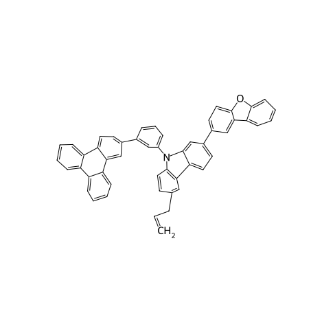 C=CCc1ccc2c(c1)c1ccc(-c3ccc4oc5ccccc5c4c3)cc1n2-c1cccc(-c2ccc3c4ccccc4c4ccccc4c3c2)c1